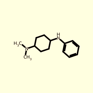 CN(C)C1CCC(Nc2ccccc2)CC1